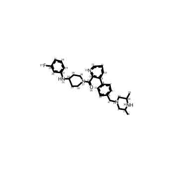 CC1CN(Cc2ccc(-c3cccnc3C(=O)N3CCC(Nc4cccc(F)c4)CC3)cc2)CC(C)N1